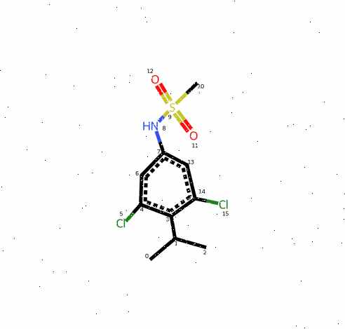 CC(C)c1c(Cl)cc(NS(C)(=O)=O)cc1Cl